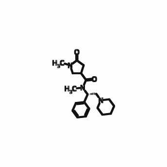 CN1CC(C(=O)N(C)[C@H](CN2CCCCC2)c2ccccc2)CC1=O